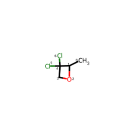 CC1OCC1(Cl)Cl